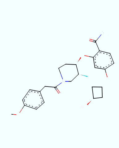 NC(=O)c1ccc(O[C@H]2C[C@H](O)C2)cc1O[C@@H]1CCN(C(=O)Cc2ccc(OC(F)(F)F)cc2)C[C@@H]1F